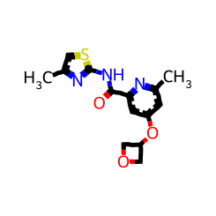 Cc1cc(OC2COC2)cc(C(=O)Nc2nc(C)cs2)n1